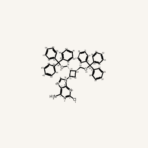 Nc1nc(Cl)nc2c1ncn2[C@@H]1C[C@H](COC(c2ccccc2)(c2ccccc2)c2ccccc2)[C@H]1COC(c1ccccc1)(c1ccccc1)c1ccccc1